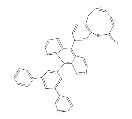 C=C1/C=C\C=C/Cc2ccc(-c3c4ccccc4c(-c4cc(-c5ccccc5)cc(-c5ccccc5)c4)c4ccccc34)cc2S1